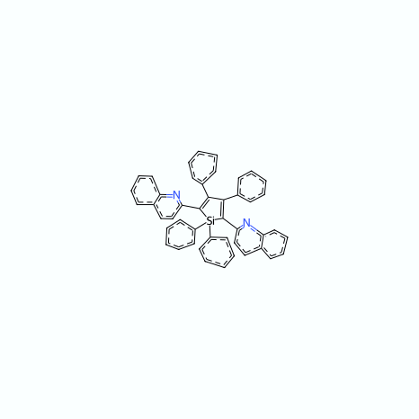 c1ccc(C2=C(c3ccc4ccccc4n3)[Si](c3ccccc3)(c3ccccc3)C(c3ccc4ccccc4n3)=C2c2ccccc2)cc1